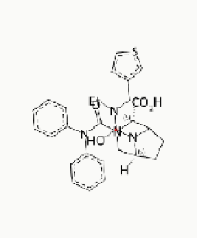 CCN(Cc1ccsc1)C(O)N1C2CC[C@H]1CN(C(=O)N(c1ccccc1)c1ccccc1)[C@@H]2C(=O)O